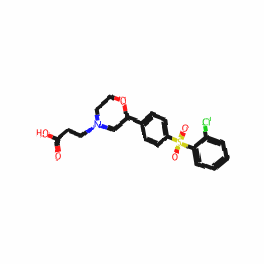 O=C(O)CCN1CCOC(c2ccc(S(=O)(=O)c3ccccc3Cl)cc2)C1